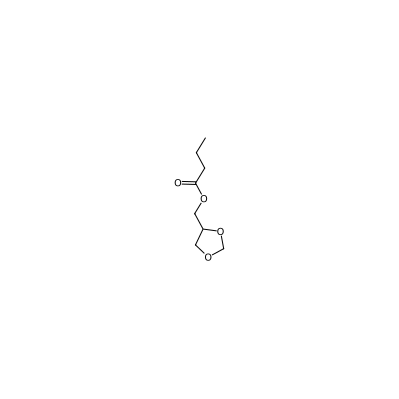 CCCC(=O)OCC1COCO1